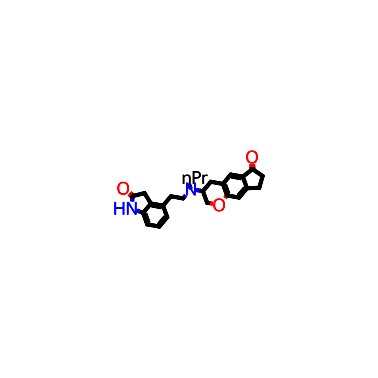 CCCN(CCc1cccc2c1CC(=O)N2)C1COc2cc3c(cc2C1)C(=O)CC3